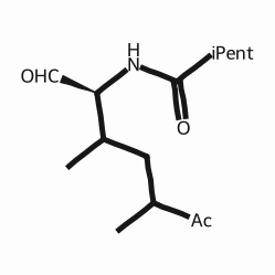 CCCC(C)C(=O)N[C@H](C=O)C(C)CC(C)C(C)=O